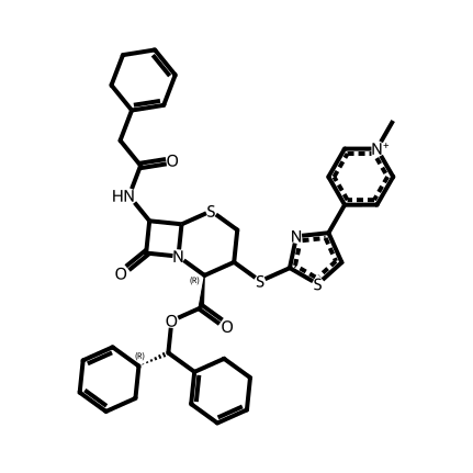 C[n+]1ccc(-c2csc(SC3CSC4C(NC(=O)CC5=CC=CCC5)C(=O)N4[C@@H]3C(=O)OC(C3=CC=CCC3)[C@H]3C=CC=CC3)n2)cc1